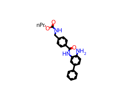 CCCOC(=O)NCc1ccc(C(=O)Nc2cc(-c3ccccc3)ccc2N)cc1